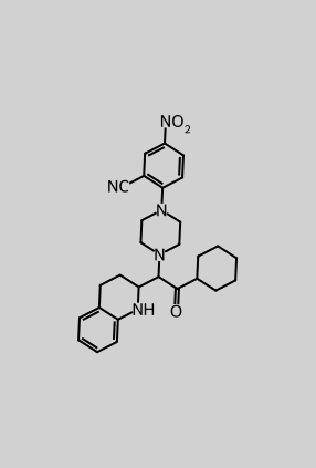 N#Cc1cc([N+](=O)[O-])ccc1N1CCN(C(C(=O)C2CCCCC2)C2CCc3ccccc3N2)CC1